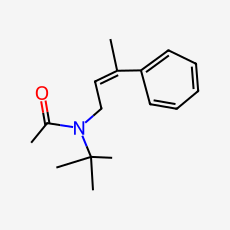 CC(=O)N(C/C=C(/C)c1ccccc1)C(C)(C)C